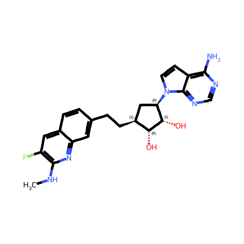 CNc1nc2cc(CC[C@H]3C[C@@H](n4ccc5c(N)ncnc54)[C@H](O)[C@@H]3O)ccc2cc1F